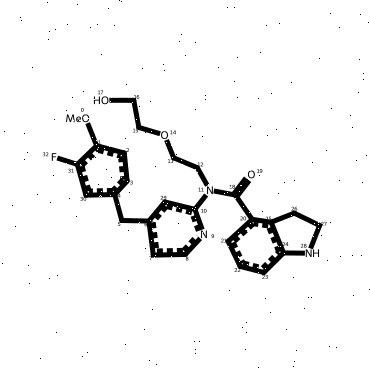 COc1ccc(Cc2ccnc(N(CCOCCO)C(=O)c3cccc4c3CCN4)c2)cc1F